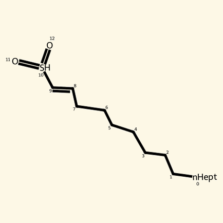 CCCCCCCCCCCCCCC=C[SH](=O)=O